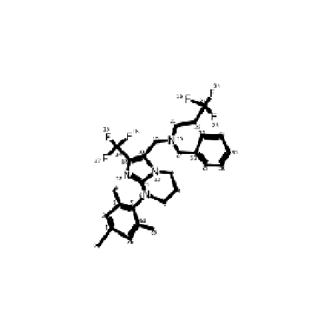 Cc1cc(C)c(N2CCCn3c2nc(C(F)(F)F)c3CN(CCC(F)(F)F)Cc2ccccc2)c(C)c1